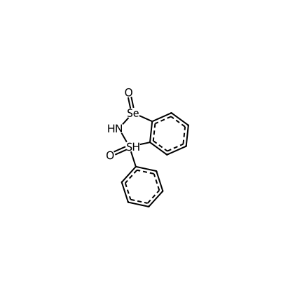 O=[Se]1N[SH](=O)(c2ccccc2)c2ccccc21